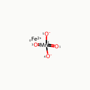 [Fe+2].[O]=[Mn](=[O])([O-])[O-]